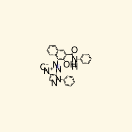 [C-]#[N+]c1cnn(-c2ccccc2)c1/N=N/c1c(O)c(C(=O)Nc2ccccc2)cc2ccccc12